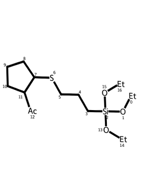 CCO[Si](CCCSC1CCCC1C(C)=O)(OCC)OCC